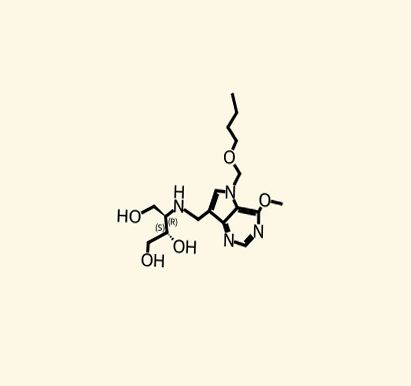 CCCCOCn1cc(CN[C@H](CO)[C@H](O)CO)c2ncnc(OC)c21